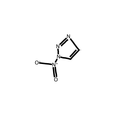 O=[N+]([O-])n1c[c]nn1